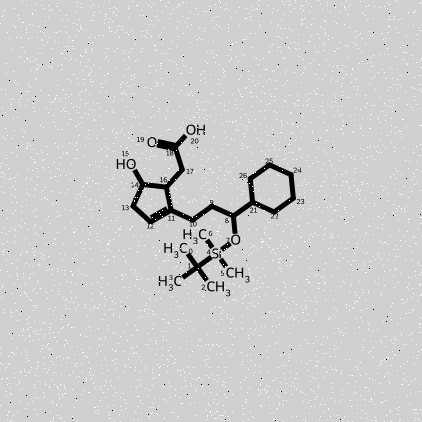 CC(C)(C)[Si](C)(C)OC(CCC1=CCC(O)C1CC(=O)O)C1CCCCC1